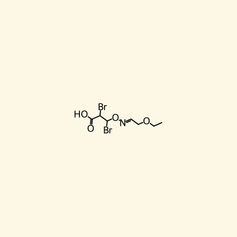 CCOCC=NOC(Br)C(Br)C(=O)O